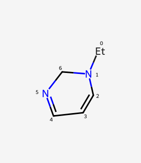 [CH2]CN1C=CC=NC1